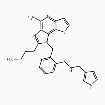 CCCCc1nc2c(N)nc3ccsc3c2n1Cc1ccccc1CNCc1cc[nH]c1